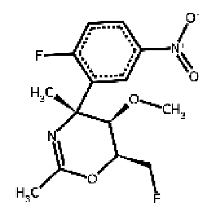 CO[C@H]1[C@@H](CF)OC(C)=N[C@]1(C)c1cc([N+](=O)[O-])ccc1F